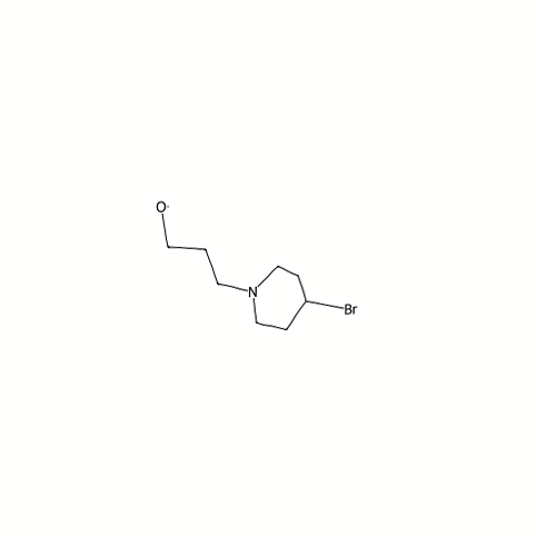 [O]CCCN1CCC(Br)CC1